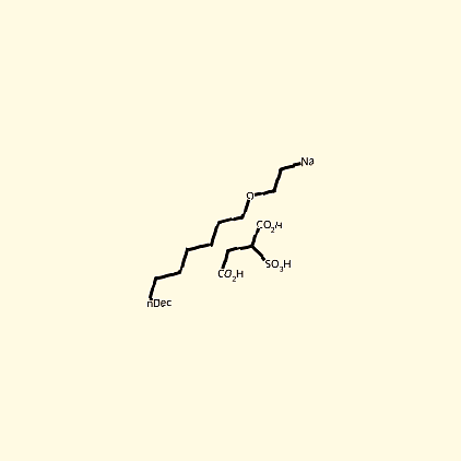 CCCCCCCCCCCCCCCCOC[CH2][Na].O=C(O)CC(C(=O)O)S(=O)(=O)O